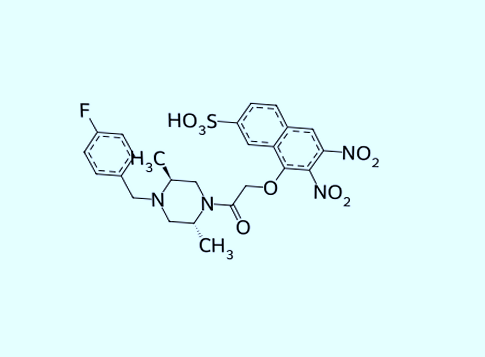 C[C@@H]1CN(Cc2ccc(F)cc2)[C@@H](C)CN1C(=O)COc1c([N+](=O)[O-])c([N+](=O)[O-])cc2ccc(S(=O)(=O)O)cc12